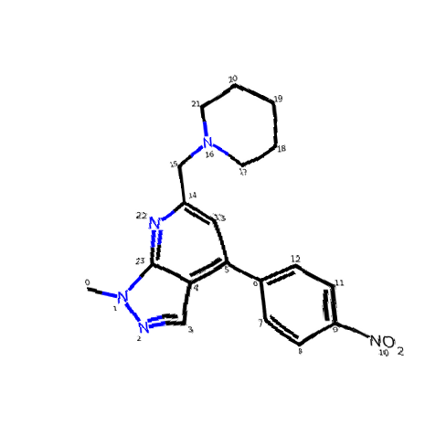 Cn1ncc2c(-c3ccc([N+](=O)[O-])cc3)cc(CN3CCCCC3)nc21